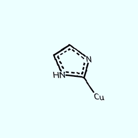 [Cu][c]1ncc[nH]1